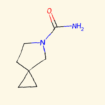 NC(=O)N1CCC2(CC2)C1